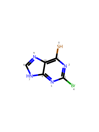 Sc1nc(Br)nc2[nH]cnc12